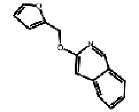 [c]1nc(OCc2ccco2)cc2ccccc12